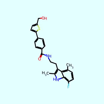 Cc1[nH]c2c(F)ccc(C)c2c1CCNC(=O)c1ccc(-c2ccc(CO)s2)cc1